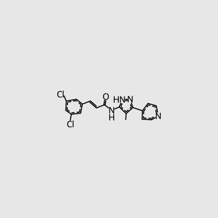 Cc1c(-c2ccncc2)n[nH]c1NC(=O)C=Cc1cc(Cl)cc(Cl)c1